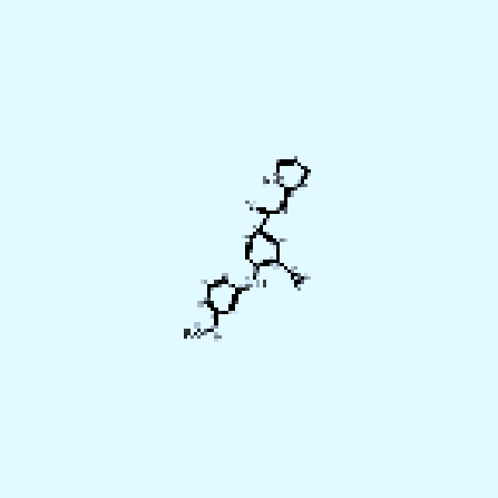 O=C(N=c1nccc[nH]1)c1ccc(Nc2cccc(OC(F)(F)F)c2)c(C2CC2)c1